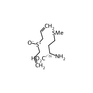 C=CC[S+]([O-])CC=C.CSCC[C@H](N)C(=O)O